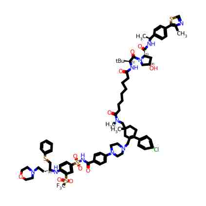 Cc1ncsc1-c1ccc([C@H](C)NC(=O)[C@@H]2C[C@@H](O)CN2C(=O)[C@@H](NC(=O)CCCCCCCC(=O)N(C)CC2(C)CCC(c3ccc(Cl)cc3)=C(CN3CCN(c4ccc(C(=O)NS(=O)(=O)c5ccc(N[C@H](CCN6CCOCC6)CSc6ccccc6)c(S(=O)(=O)C(F)(F)F)c5)cc4)CC3)C2)C(C)(C)C)cc1